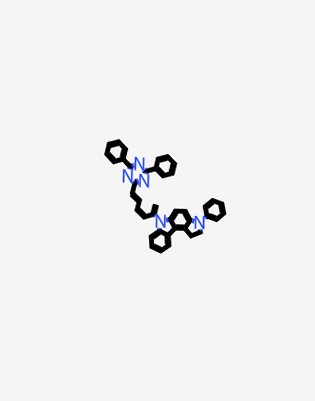 C=C(/C=C\C=C\c1nc(-c2ccccc2)nc(-c2ccccc2)n1)n1c2ccccc2c2c3c(ccc21)N(c1ccccc1)CC3